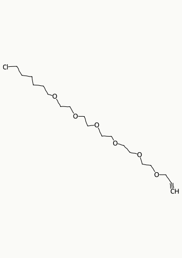 C#CCOCCOCCOCCOCCOCCOCCCCCCCl